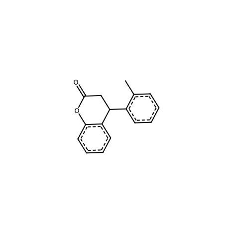 Cc1ccccc1C1CC(=O)Oc2ccccc21